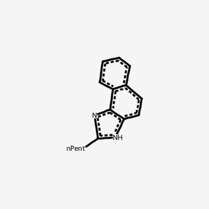 CCCCCc1nc2c(ccc3ccccc32)[nH]1